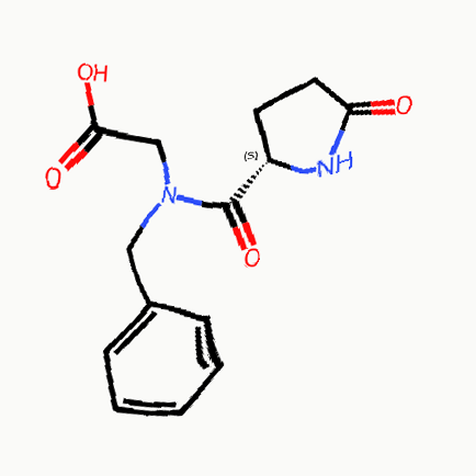 O=C(O)CN(Cc1ccccc1)C(=O)[C@@H]1CCC(=O)N1